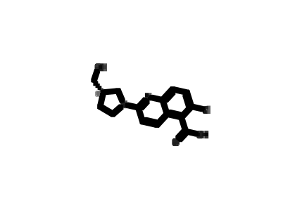 O=C(O)c1c(Cl)ccc2nc(N3CC[C@H](CO)C3)ccc12